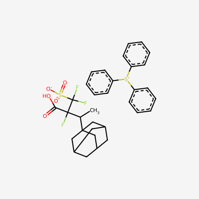 CC(C12CC3CC(CC(C3)C1)C2)C(F)(C(=O)O)C(F)(F)S(=O)(=O)[O-].c1ccc([S+](c2ccccc2)c2ccccc2)cc1